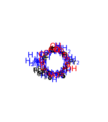 CCCC[C@H]1C(=O)N(C)[C@@H](CCCC)C(=O)N[C@@H](CCCNC(=N)N)C(=O)N[C@H](C(=O)NCC(N)=O)CSCC(=O)N[C@@H](Cc2ccc(O)cc2)C(=O)N(C)[C@@H](C)C(=O)N[C@@H](CC(N)=O)C(=O)N2CCC[C@H]2C(=O)N[C@@H](CN)C(=O)N[C@@H](CC(C)C)C(=O)N2C[C@H](O)C[C@H]2C(=O)N[C@@H](Cc2c[nH]c3ccccc23)C(=O)N[C@@H](C(C)C)C(=O)N[C@@H](Cc2c[nH]c3ccccc23)C(=O)N1C